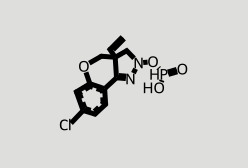 C=CC12COc3cc(Cl)ccc3C1=NN(O[PH](=O)O)C2